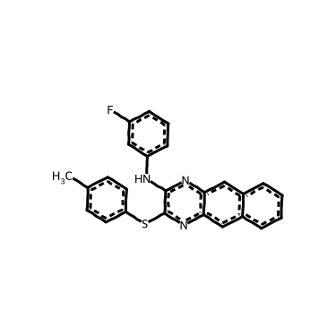 Cc1ccc(Sc2nc3cc4ccccc4cc3nc2Nc2cccc(F)c2)cc1